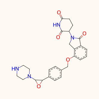 O=C1CCC(N2Cc3c(OCc4ccc(C5OC5N5CCNCC5)cc4)cccc3C2=O)C(=O)N1